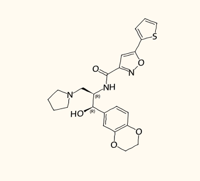 O=C(N[C@H](CN1CCCC1)[C@H](O)c1ccc2c(c1)OCCO2)c1cc(-c2cccs2)on1